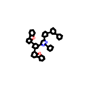 c1ccc(-c2cccc(-c3cccc(-c4cc(-c5cc(-c6cccc7c6oc6ccccc67)cc(-c6cccc7c6oc6ccccc67)c5)nc(-c5ccccc5)n4)c3)c2)cc1